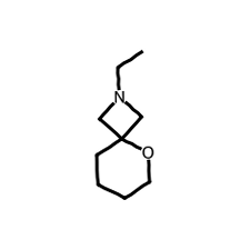 CCN1CC2(CCCCO2)C1